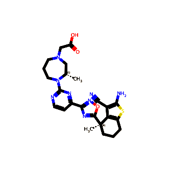 C[C@H]1CN(CC(=O)O)CCCN1c1nccc(-c2noc([C@]3(C)CCCc4sc(N)c(C#N)c43)n2)n1